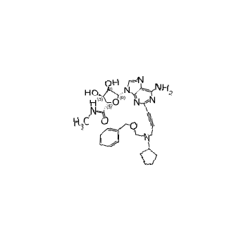 CNC(=O)[C@H]1O[C@@H](n2cnc3c(N)nc(C#CCN(COCc4ccccc4)C4CCCC4)nc32)[C@H](O)[C@@H]1O